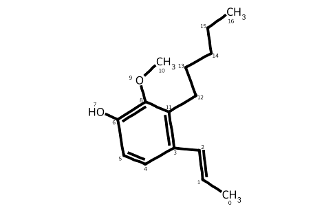 CC=Cc1ccc(O)c(OC)c1CCCCC